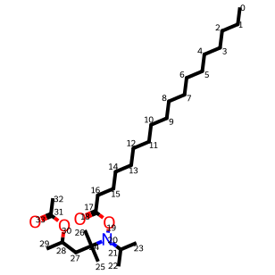 CCCCCCCCCCCCCCCCCC(=O)ON(C(C)C)C(C)(C)CC(C)OC(C)=O